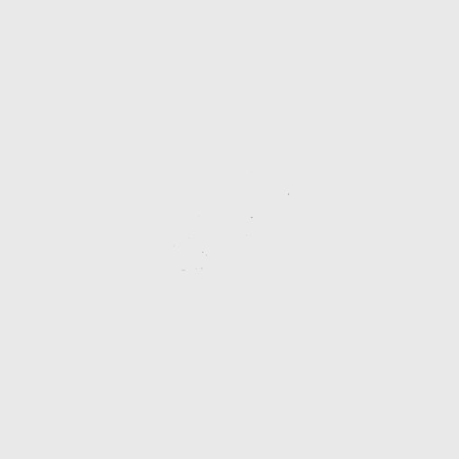 Cc1cc(C=CCN2C(=O)C(F)(F)CC2C=O)sc1C(=O)O